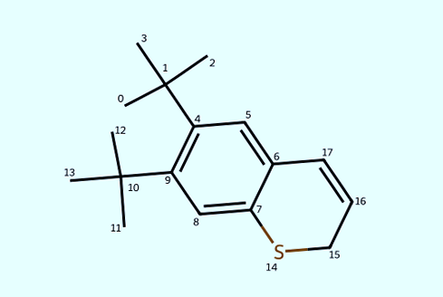 CC(C)(C)c1cc2c(cc1C(C)(C)C)SCC=C2